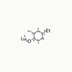 CCc1ccc([O][Lu])c(C)c1